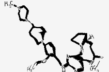 COc1cc(N2CCC(N3CCN(C)CC3)CC2)ccc1Nc1ncc2c(n1)N1CCC[C@H]1CC(=O)N2C